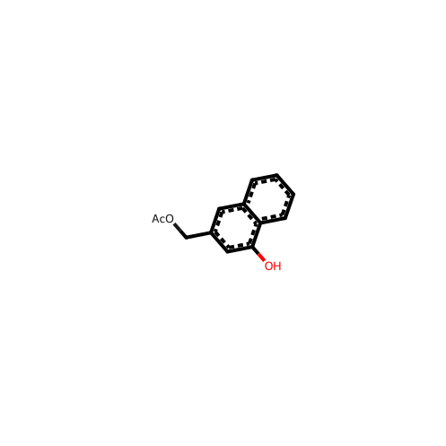 CC(=O)OCc1cc(O)c2ccccc2c1